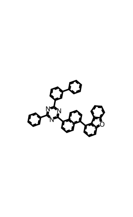 c1ccc(-c2cccc(-c3nc(-c4ccccc4)nc(-c4cccc5c(-c6cccc7oc8ccccc8c67)cccc45)n3)c2)cc1